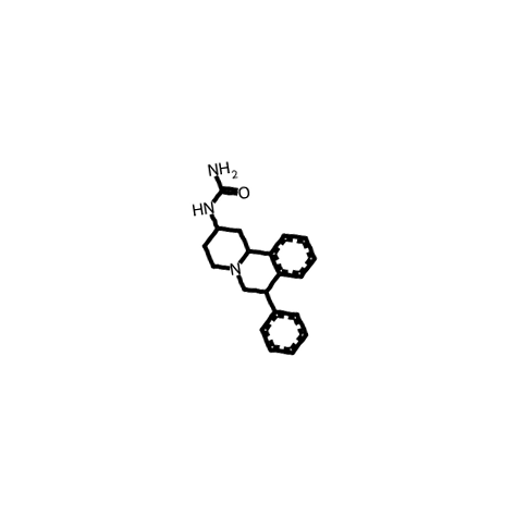 NC(=O)NC1CCN2CC(c3ccccc3)c3ccccc3C2C1